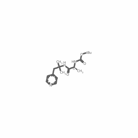 C[C@H](NC(=O)OC(C)(C)C)C(=O)NC(C)(C)Cc1ccncc1